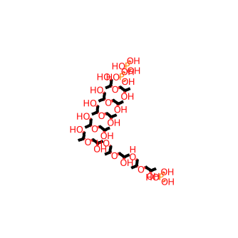 CC(O)COC(C)CO.CC(O)COC(C)CO.CC(O)COC(C)CO.CC(O)COC(C)CO.CC(O)COC(C)CO.CC(O)COC(C)CO.CC(O)COC(C)CO.OP(O)O.OP(O)O.OP(O)O